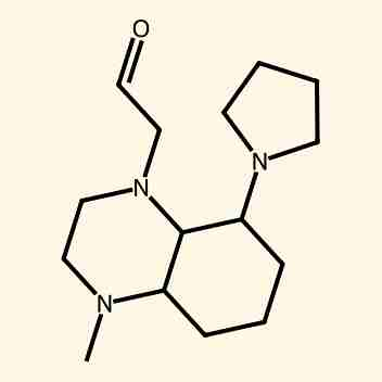 CN1CCN(CC=O)C2C1CCCC2N1CCCC1